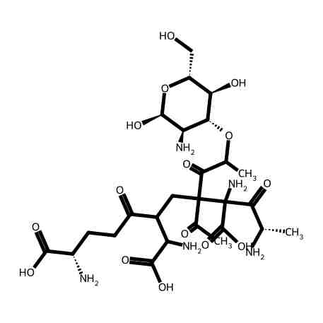 CC(=O)C(CC(C(=O)CC[C@H](N)C(=O)O)C(N)C(=O)O)(C(=O)C(C)O[C@@H]1[C@@H](N)[C@@H](O)O[C@H](CO)[C@H]1O)C(N)(C(=O)O)C(=O)[C@H](C)N